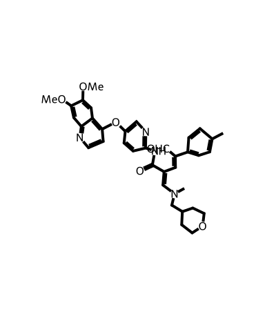 COc1cc2nccc(Oc3ccc(NC(=O)C(/C=C(\C=O)c4ccc(C)cc4)=C/N(C)CC4CCOCC4)nc3)c2cc1OC